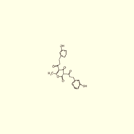 CC1=C(C(=O)CCc2cccc(O)c2)C(=O)C(C(=O)CCc2cccc(O)c2)C(=O)O1